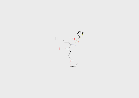 CC[C@H](C)C(NS(=O)(=O)c1cccs1)C(O)CCC1OCCCO1